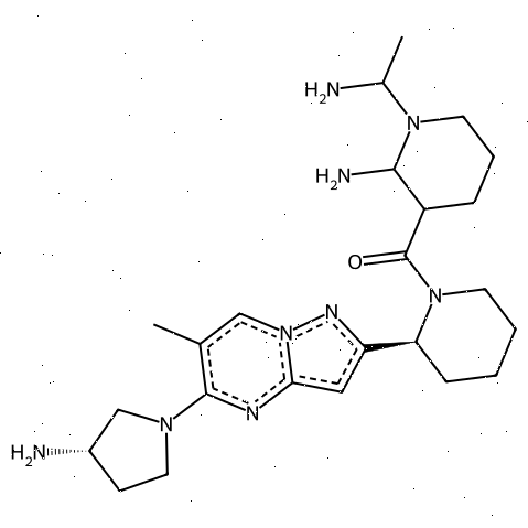 Cc1cn2nc([C@@H]3CCCCN3C(=O)C3CCCN(C(C)N)C3N)cc2nc1N1CC[C@H](N)C1